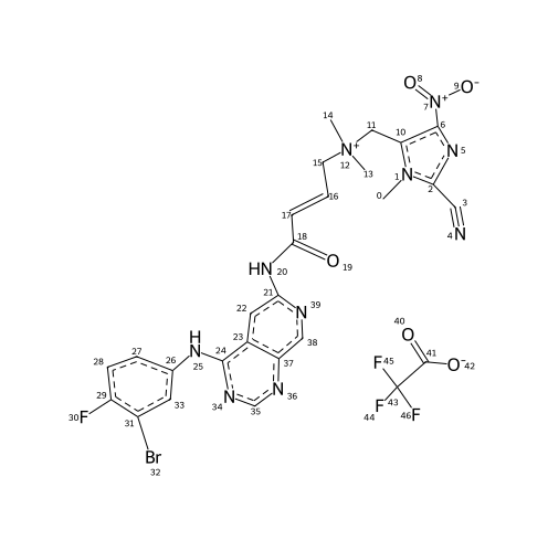 Cn1c(C#N)nc([N+](=O)[O-])c1C[N+](C)(C)C/C=C/C(=O)Nc1cc2c(Nc3ccc(F)c(Br)c3)ncnc2cn1.O=C([O-])C(F)(F)F